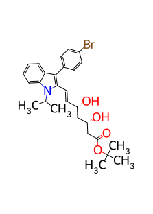 CC(C)n1c(/C=C/[C@H](O)C[C@H](O)CC(=O)OC(C)(C)C)c(-c2ccc(Br)cc2)c2ccccc21